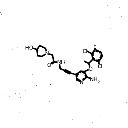 CC(Oc1cc(C#CCNC(=O)CN2CCC(O)CC2)cnc1N)c1c(Cl)ccc(F)c1Cl